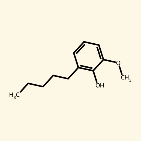 CCCCCc1cccc(OC)c1O